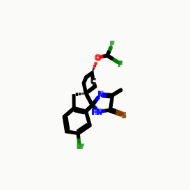 CC1=NC2(NC1=S)c1cc(Br)ccc1C[C@]21CC[C@@H](OC(F)F)CC1